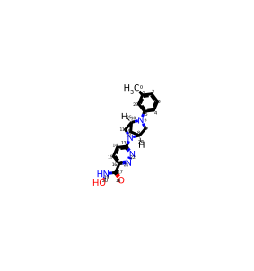 Cc1cccc(N2C[C@@H]3C[C@H]2CN3c2ccc(C(=O)NO)nn2)c1